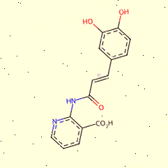 O=C(/C=C/c1ccc(O)c(O)c1)Nc1ncccc1C(=O)O